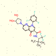 CC(C)(C)[C@H](NC(=O)c1cn(-c2c(F)cc(F)cc2F)c2nc(N3C[C@@H](O)[C@H](O)C3)ccc2c1=O)C(F)(F)F